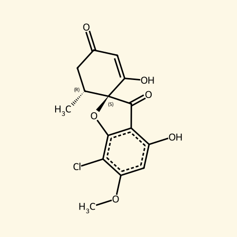 COc1cc(O)c2c(c1Cl)O[C@]1(C2=O)C(O)=CC(=O)C[C@H]1C